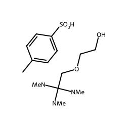 CNC(COCCO)(NC)NC.Cc1ccc(S(=O)(=O)O)cc1